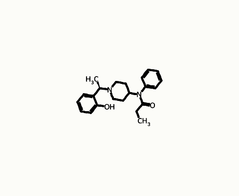 CCC(=O)N(c1ccccc1)C1CCN([C@H](C)c2ccccc2O)CC1